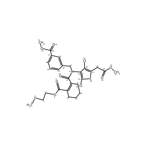 COCCOC(=O)C1=C(C(=O)N(Cc2cncc(C(=O)OC)c2)c2c(Cl)sc(CC(=O)OC)c2Cl)CCCC1